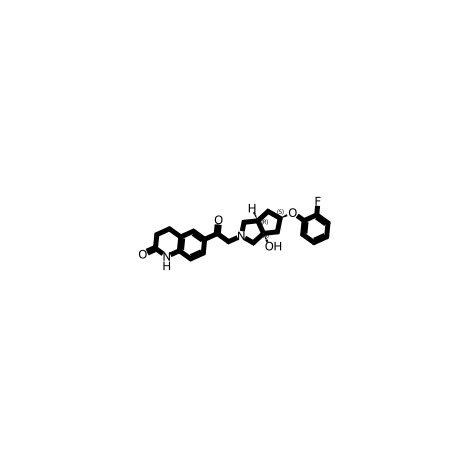 O=C1CCc2cc(C(=O)CN3C[C@H]4C[C@H](Oc5ccccc5F)C[C@@]4(O)C3)ccc2N1